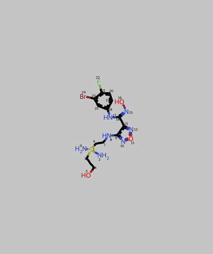 NS(N)(CCO)CCNc1nonc1/C(=N/O)Nc1ccc(F)c(Br)c1